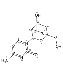 Cc1ccn(C2OC3(CO)COC2C(O)C3)c(=O)n1